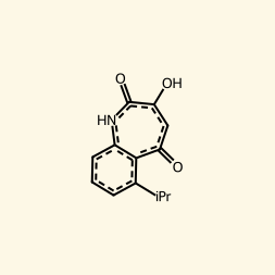 CC(C)c1cccc2[nH]c(=O)c(O)cc(=O)c12